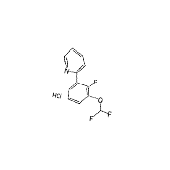 Cl.Fc1c(OC(F)F)cccc1-c1ccccn1